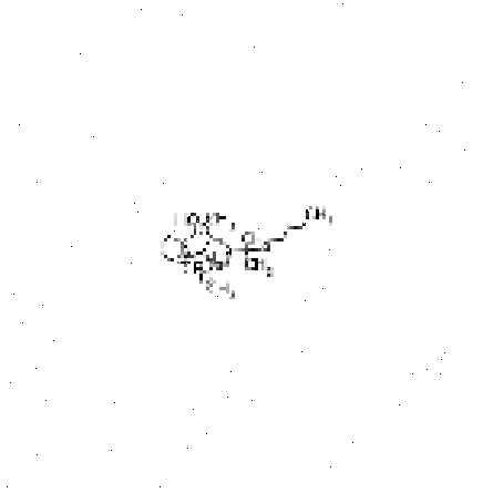 CCCCCCC(C)(C)c1cc(OC)c(C2=CC3CCC2(CO)C3(C)C)c(OC)c1